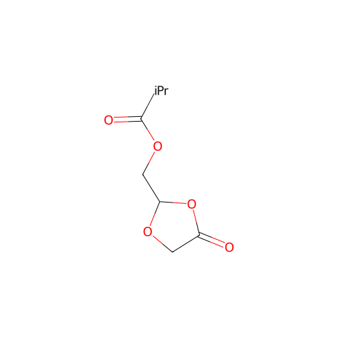 CC(C)C(=O)OCC1OCC(=O)O1